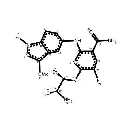 CC[C@@H](Nc1nc(Nc2ccc3c(c2)c(OC)nn3CC)c(C(N)=O)cc1F)[C@H](C)N